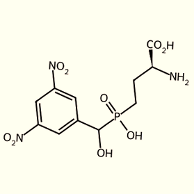 N[C@@H](CCP(=O)(O)C(O)c1cc([N+](=O)[O-])cc([N+](=O)[O-])c1)C(=O)O